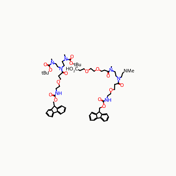 CN(CCN(CCN(C)C(=O)OC(C)(C)C)C(=O)CCOCCNC(=O)OCC1c2ccccc2-c2ccccc21)C(=O)OC(C)(C)C.CNCCN(CCN(C)C(=O)CCOCCOCCC(=O)O)C(=O)CCOCCNC(=O)OCC1c2ccccc2-c2ccccc21